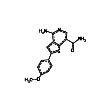 COc1ccc(-c2cc3c(N)ncc(C(N)=O)c3s2)cc1